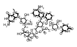 COC[C@H]1[C@@H](O)[C@H](n2c[n+](C)c3c(=O)[nH]c(N)nc32)O[C@@H]1COP(=O)(O)OP(=O)(O)OP(=O)(O)OCC1O[C@@H](n2cnc3c(N)ncnc32)[C@H](Oc2ccccc2)[C@@H]1P(=O)([O-])OC[C@H]1O[C@@H](n2ccc(=O)[nH]c2=O)[C@H](O)[C@@H]1O